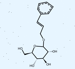 OC[C@H]1OC(OCC=Cc2ccccc2)[C@H](O)[C@@H](O)[C@@H]1O